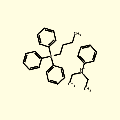 CCCC[B-](c1ccccc1)(c1ccccc1)c1ccccc1.CC[NH+](CC)c1ccccc1